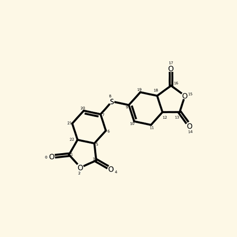 O=C1OC(=O)C2CC(SC3=CCC4C(=O)OC(=O)C4C3)=CCC12